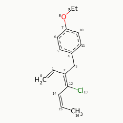 C=C/C(Cc1ccc(OCC)cc1)=C(Cl)\C=C/C